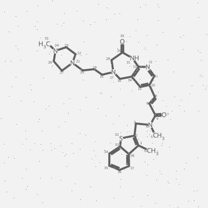 Cc1c(CN(C)C(=O)C=Cc2cnc3c(c2)CN(CCCN2CCN(C)CC2)CC(=O)N3)sc2ccccc12